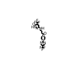 O=C(CCCNc1cc(C(F)(F)F)c(=O)[nH]n1)N1CCN(c2ncc(C(F)(F)F)cn2)CC1